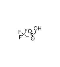 O=S(=O)(CO)CC(F)(F)F